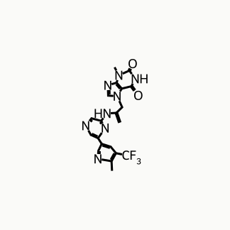 C=C(Cn1cnc2c1c(=O)[nH]c(=O)n2C)Nc1cncc(-c2cnc(C)c(C(F)(F)F)c2)n1